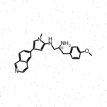 COc1ccc(C[C@H](N)CNc2cc(-c3ccc4cnccc4c3)cn2C)cc1